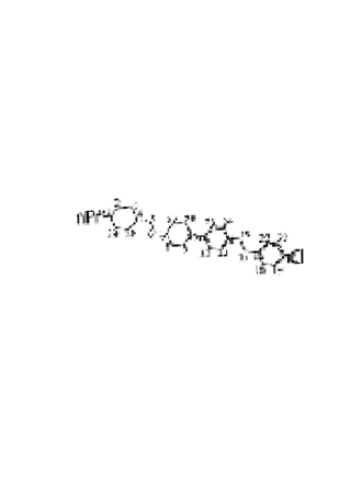 CCC[C@H]1CC[C@H](CC[C@H]2CC[C@H](c3ccc(C=Cc4ccc(Cl)cc4)cc3)CC2)CC1